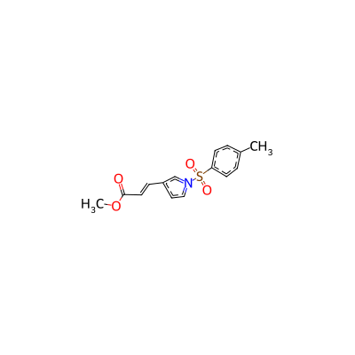 COC(=O)/C=C/c1ccn(S(=O)(=O)c2ccc(C)cc2)c1